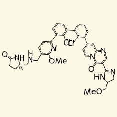 COCC1CN=C(c2cnc3cc(-c4cccc(-c5cccc(-c6ccc(CNC[C@@H]7CCC(=O)N7)c(OC)n6)c5Cl)c4Cl)ccn3c2=O)N1